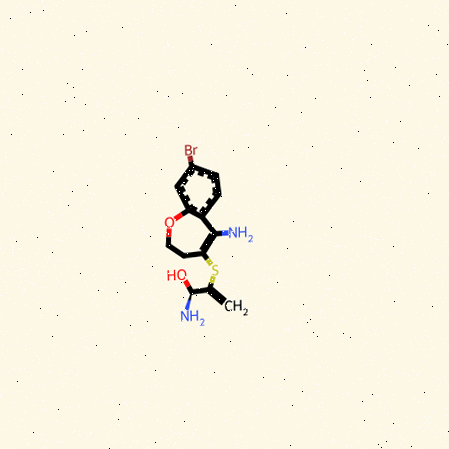 C=C(SC1=C(N)c2ccc(Br)cc2OCC1)[C@@H](N)O